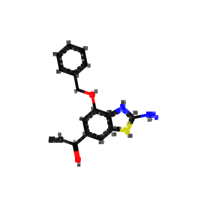 COC(=O)c1cc(OCc2ccccc2)c2nc(N)sc2c1